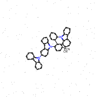 N#Cc1ccc(-n2c3ccccc3c3cc(-n4c5ccccc5c5ccccc54)ccc32)c(-c2ccccc2-n2c3ccccc3c3ccc(C#N)cc32)c1